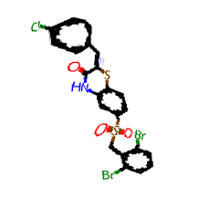 O=C1Nc2cc(S(=O)(=O)Cc3c(Br)cccc3Br)ccc2S/C1=C/c1ccc(Cl)cc1